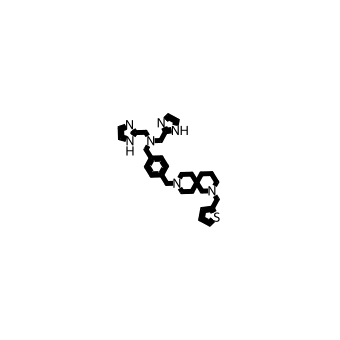 c1csc(CN2CCCC3(CCN(Cc4ccc(CN(Cc5ncc[nH]5)Cc5ncc[nH]5)cc4)CC3)C2)c1